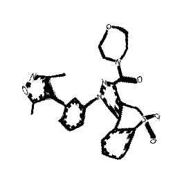 Cc1noc(C)c1-c1cccc(-n2nc(C(=O)N3CCOCC3)c3c2-c2ccccc2S(=O)(=O)C3)c1